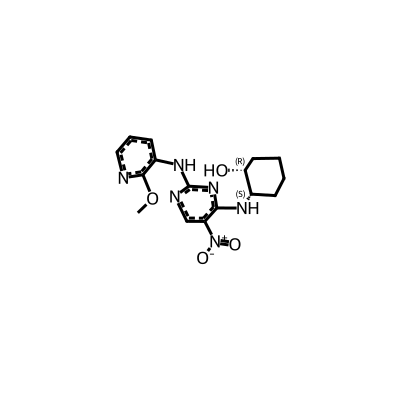 COc1ncccc1Nc1ncc([N+](=O)[O-])c(N[C@H]2CCCC[C@H]2O)n1